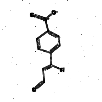 O=CC=C(Cl)c1ccc([N+](=O)[O-])cc1